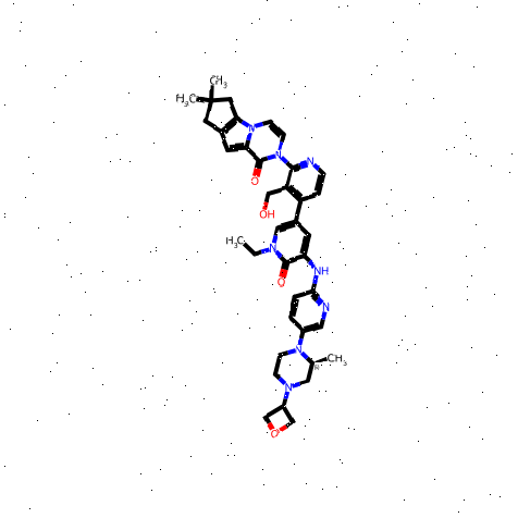 CCn1cc(-c2ccnc(-n3ccn4c5c(cc4c3=O)CC(C)(C)C5)c2CO)cc(Nc2ccc(N3CCN(C4COC4)C[C@@H]3C)cn2)c1=O